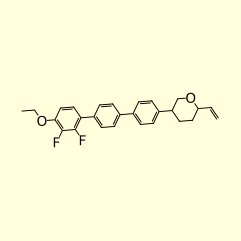 C=CC1CCC(c2ccc(-c3ccc(-c4ccc(OCC)c(F)c4F)cc3)cc2)CO1